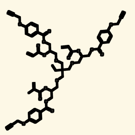 C#CCOc1ccc(C(=O)OCC(COCC(CC)(COCC(COC(=O)c2ccc(OCC#C)cc2)OC(=O)C=C)COCC(COC(=O)c2ccc(OCC#C)cc2)OC(=O)C(=C)C)OC(=O)C=C)cc1